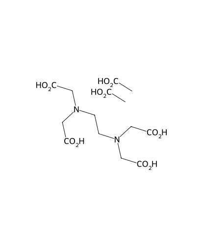 CC(=O)O.CC(=O)O.O=C(O)CN(CCN(CC(=O)O)CC(=O)O)CC(=O)O